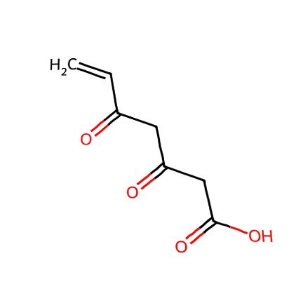 C=CC(=O)CC(=O)CC(=O)O